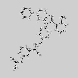 Nc1ncccc1-c1nc2ccc(-c3ccccc3)nc2n1-c1ccc(CNC(=O)c2cccc(CC(=O)O)c2)cc1